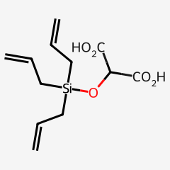 C=CC[Si](CC=C)(CC=C)OC(C(=O)O)C(=O)O